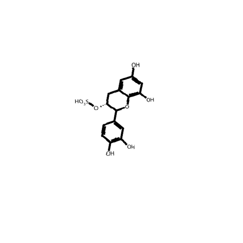 O=S(=O)(O)O[C@@H]1Cc2cc(O)cc(O)c2OC1c1ccc(O)c(O)c1